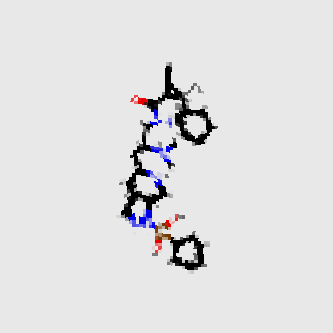 CC1=C(C(=O)NC[C@H](Cc2cc3cnn(S(=O)(=O)c4ccccc4)c3cn2)N(C)C)[C@]1(C)c1ccccc1